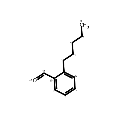 CCCCCc1ccccc1[C]=O